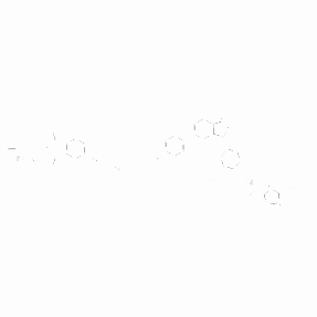 Cc1cc(-c2n[nH]c3ccc(-c4ccc(N5CCC(CN6C[C@@H]7C[C@H]6CN7c6ccc7c(c6)C(=O)N(C6CCC(=O)NC6=O)C7=O)CC5)cc4)cc23)ccc1CNC(=O)c1nc(C(C)(C)C)no1